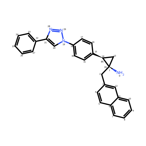 N[C@]1(Cc2ccc3ccccc3c2)C[C@@H]1c1ccc(-n2cc(-c3ccccc3)nn2)cc1